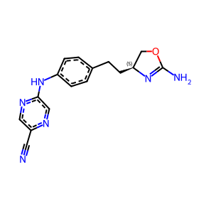 N#Cc1cnc(Nc2ccc(CC[C@H]3COC(N)=N3)cc2)cn1